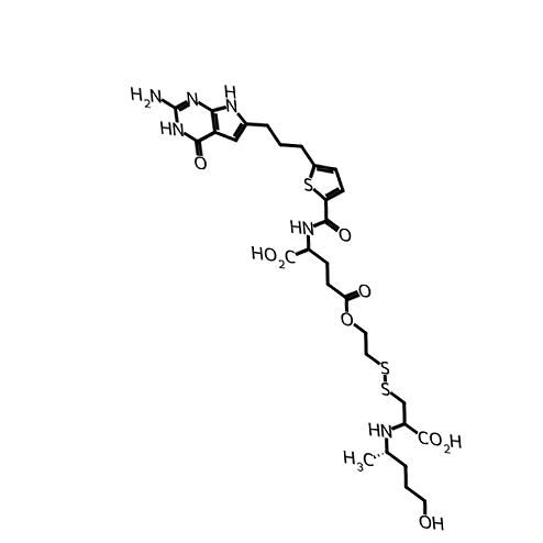 C[C@@H](CCCO)NC(CSSCCOC(=O)CCC(NC(=O)c1ccc(CCCc2cc3c(=O)[nH]c(N)nc3[nH]2)s1)C(=O)O)C(=O)O